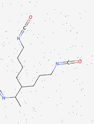 CC(N=C=O)C(CCCCN=C=O)CCCN=C=O